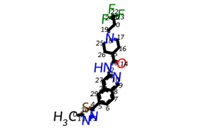 Cc1nnc(-c2ccc3cnc(NC(=O)C4CCN(CCC(F)(F)F)CC4)cc3c2)s1